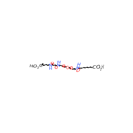 C[C@@H](CCCCNC(=O)CCC(=O)NCCCOCCOCCOCCCNC(=O)CCCCCCCCC(=O)O)C(=O)O